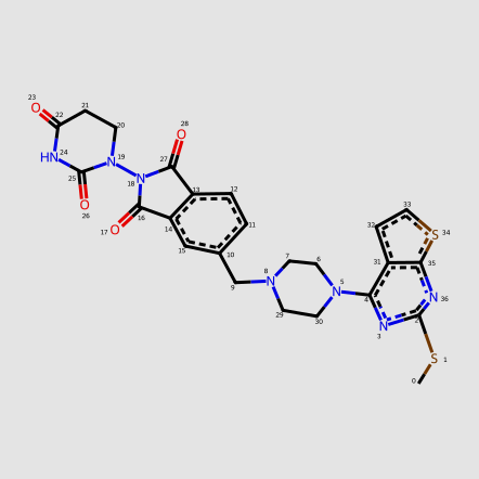 CSc1nc(N2CCN(Cc3ccc4c(c3)C(=O)N(N3CCC(=O)NC3=O)C4=O)CC2)c2ccsc2n1